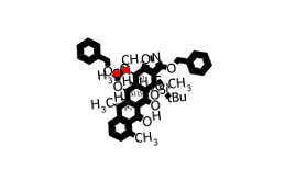 Cc1cccc2c1C(=O)C1=C(O)[C@]3(O[Si](C)(C)C(C)(C)C)C(=O)c4c(OCc5ccccc5)noc4[C@@H](N(C)C)[C@@H]3[C@@H](OC(=O)OCc3ccccc3)[C@@H]1[C@H]2C